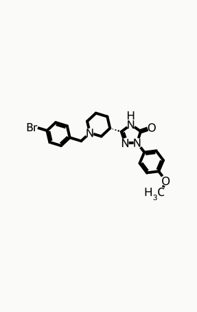 COc1ccc(-n2nc([C@H]3CCCN(Cc4ccc(Br)cc4)C3)[nH]c2=O)cc1